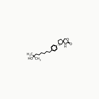 CC(C)(O)CCCCCCc1ccc([C@@H]2CC[C@]3(COC(=O)N3)C2)cc1